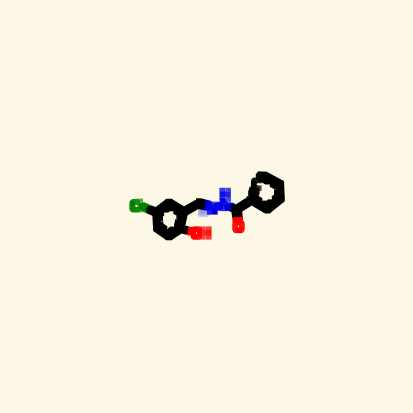 O=C(N/N=C/c1cc(Cl)ccc1O)c1ccccc1